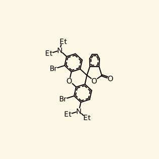 CCN(CC)c1ccc2c(c1Br)Oc1c(ccc(N(CC)CC)c1Br)C21OC(=O)c2ccccc21